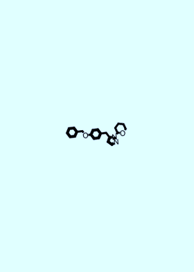 c1ccc(COc2ccc(Cc3ccnn3C3CCCCO3)cc2)cc1